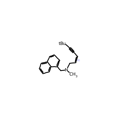 CN(C/C=C\C#CC(C)(C)C)Cc1cccc2ccccc12